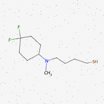 CN(CCCCS)C1CCC(F)(F)CC1